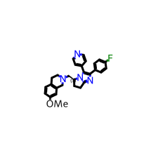 COc1ccc2c(c1)CN(C[C@@H]1CCc3nc(-c4ccc(F)cc4)c(-c4ccncc4)n31)CC2